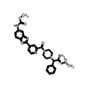 CN/N=C(\N)C(c1ccccc1)N1CCN(C(=O)c2cc(-c3nc4cc(NC(=O)OC)ccc4o3)ccn2)CC1